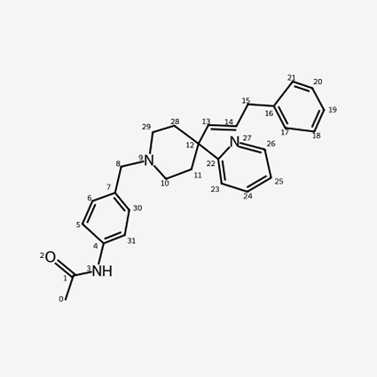 CC(=O)Nc1ccc(CN2CCC(C=CCc3ccccc3)(c3ccccn3)CC2)cc1